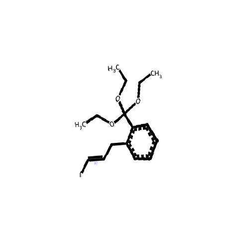 CCOC(OCC)(OCC)c1ccccc1C/C=C/I